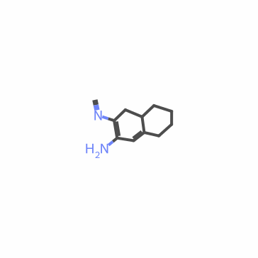 C=NC1=C(N)C=C2CCCCC2C1